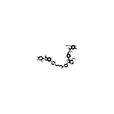 COc1ccc(F)cc1C(=O)NCc1ccc(-c2nn(C3CCN(C(=O)CCCCN4CCN(c5ccc6c(c5)CN(C5CCC(=O)NC5=O)C6=O)CC4)C3)c3ncnc(N)c23)cc1